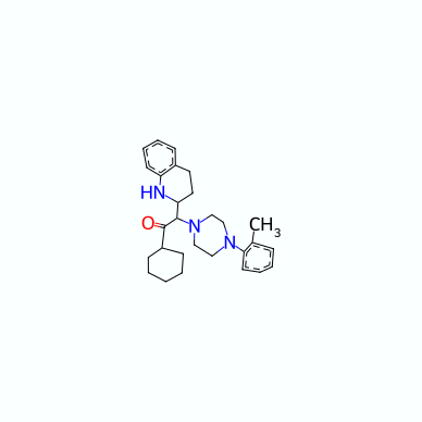 Cc1ccccc1N1CCN(C(C(=O)C2CCCCC2)C2CCc3ccccc3N2)CC1